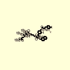 CC(C)(C)OC(=O)CC[C@H](NC(=O)N[C@@H](CCCCNC(=O)[C@H](Cc1ccc2ccccc2c1)NC(=O)C1CCC(CNC(=O)[C@@H](N)Cc2ccc(I)cc2)CC1)C(=O)OC(C)(C)C)C(=O)OC(C)(C)C